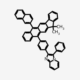 CC1(C)c2ccccc2-c2cc3c(-c4ccc5ccccc5c4)c4ccccc4c(-c4ccc(-c5nc6ccccn6c5-c5ccccc5)cc4)c3cc21